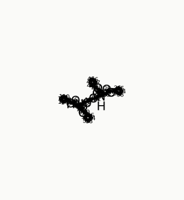 O=C(CC(CC(=O)OCc1ccccc1)NCCOCCOCCNC(CC(=O)OCc1ccccc1)CC(=O)OCc1ccccc1)OCc1ccccc1